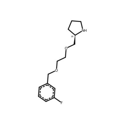 Fc1cccc(COCCOC[C@H]2CCCN2)c1